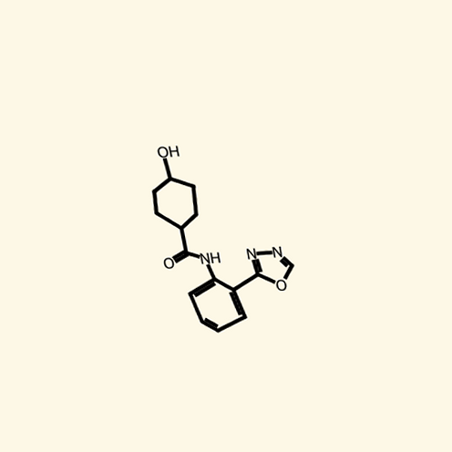 O=C(Nc1ccccc1-c1nnco1)C1CCC(O)CC1